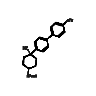 CCCCC[C@H]1CC[C@@](C#N)(c2ccc(-c3ccc(CCC)cc3)cc2)CC1